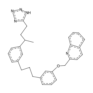 CC(CCc1nnn[nH]1)c1cccc(CCCc2cccc(OCc3ccc4ccccc4n3)c2)c1